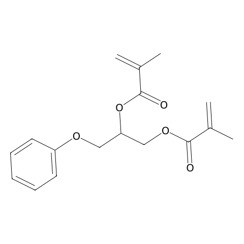 C=C(C)C(=O)OCC(COc1ccccc1)OC(=O)C(=C)C